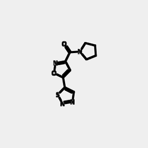 O=C(c1cc(-c2cnns2)on1)N1CCCC1